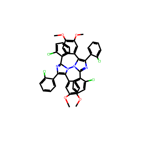 COc1ccc(-c2c(-c3ccccc3Cl)nc(-c3ccccc3Cl)n2-n2c(-c3ccccc3Cl)nc(-c3ccccc3Cl)c2-c2ccc(OC)c(OC)c2)cc1OC